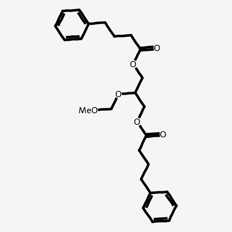 COCOC(COC(=O)CCCc1ccccc1)COC(=O)CCCc1ccccc1